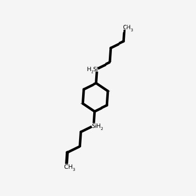 CCCC[SiH2]C1[CH]CC([SiH2]CCCC)[CH]C1